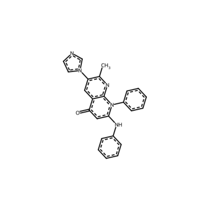 Cc1nc2c(cc1-n1ccnc1)c(=O)cc(Nc1ccccc1)n2-c1ccccc1